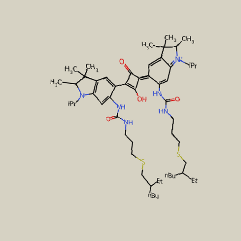 CCCCC(CC)CSCCCNC(=O)Nc1cc2c(cc1C1=C(O)/C(=c3/cc4c(cc3NC(=O)NCCCSCC(CC)CCCC)=[N+](C(C)C)C(C)C4(C)C)C1=O)C(C)(C)C(C)N2C(C)C